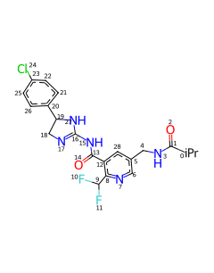 CC(C)C(=O)NCc1cnc(C(F)F)c(C(=O)NC2=NCC(c3ccc(Cl)cc3)N2)c1